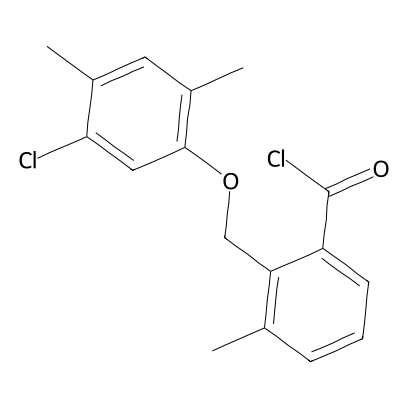 Cc1cc(C)c(OCc2c(C)cccc2C(=O)Cl)cc1Cl